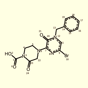 O=C(O)N1CCN(c2nc(Br)cn(Cc3ccccc3)c2=O)CC1=O